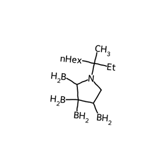 BC1CN(C(C)(CC)CCCCCC)C(B)C1(B)B